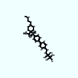 COCCN1CCC(C(=O)O)(S(=O)(=O)c2ccc(-c3cnc(CCC(F)(F)C(F)(F)F)cn3)cc2)CC1